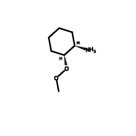 COO[C@@H]1CCCC[C@@H]1N